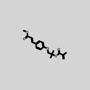 C=C(C)C(=O)OC(C)(C)COc1ccc(/C=C/C(=O)OC)cc1